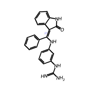 N=C(N)Nc1cccc(N/C(=C2\C(=O)Nc3ccccc32)c2ccccc2)c1